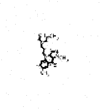 CCCN(CC)CCCn1c2ccc(C)cc2c(=O)c2c1cnn2C